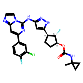 CC1(NC(=O)O[C@H]2CC[C@@H](c3cc(Nc4nc(-c5ccc(F)c(Cl)c5)cc5nccn45)n[nH]3)[C@@H]2F)CC1